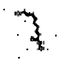 C/C=C/C=C\CC/C=C/C(=O)NC(C)CC